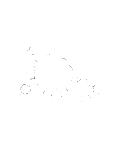 CC(=O)CC[C@H]1C(=O)N[C@@H](C(C)C)C(=O)N[C@@H](Cc2cccc(O)c2)C(=O)N2CCCC(N2)C(=O)O[C@H](/C(C)=C/C(C)CC(=O)N(C)C2CCCCC2)C/C=C/C=C/C[C@H](C)[C@H]1O